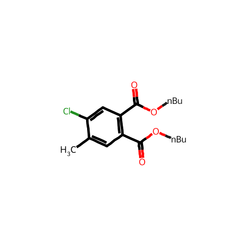 CCCCOC(=O)c1cc(C)c(Cl)cc1C(=O)OCCCC